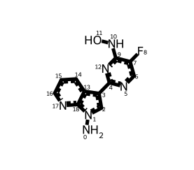 Nn1cc(-c2ncc(F)c(NO)n2)c2cccnc21